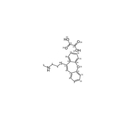 CNCCSC1=Cc2ccccc2Oc2ccccc21.O=C(O)C(=O)O